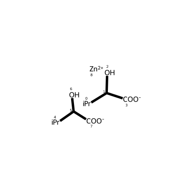 CC(C)C(O)C(=O)[O-].CC(C)C(O)C(=O)[O-].[Zn+2]